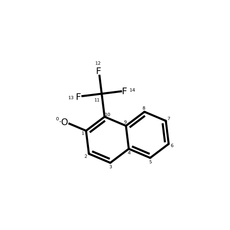 [O]c1ccc2ccccc2c1C(F)(F)F